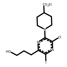 CCOC(=O)C1CCN(c2nc(CCCO)c(I)nc2Cl)CC1